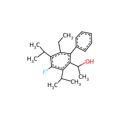 CCc1c(-c2ccccc2)c(C(C)O)c(C(C)C)c(F)c1C(C)C